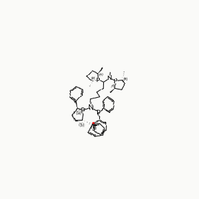 C[C@@H]1CC[C@@H](C)P1C(CCCCN(P(c1ccccc1)c1ccccc1)P1[C@H](c2ccccc2)CC[C@H]1c1ccccc1)N(C)P1[C@H](C)CC[C@H]1C